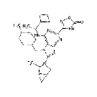 CC1CCC(Cn2c(N3CC4CC4C3C(F)(F)F)nc3nc(-c4noc(=O)[nH]4)nc(N[C@H](C)C4CCC4)c32)CC1